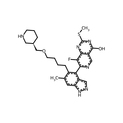 CSc1nc(O)c2cnc(-c3c(CCCCOC[C@@H]4CCCNC4)c(C)cc4[nH]ncc34)c(F)c2n1